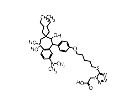 CCCCC1(CCCC)CS(O)(O)c2ccc(N(C)C)cc2C(c2ccc(OCCCCCSc3nnnn3CC(=O)O)cc2)C1O